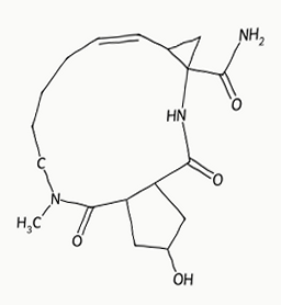 CN1CCCCC=CC2CC2(C(N)=O)NC(=O)C2CC(O)CC2C1=O